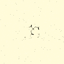 N.O.O.O.O=C(O)CC(O)(CC(=O)O)C(=O)O.[BiH3].[KH].[KH].[KH]